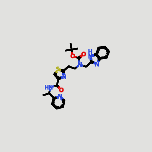 CC(NC(=O)c1csc(CCN(Cc2nc3ccccc3[nH]2)C(=O)OC(C)(C)C)n1)c1ccccn1